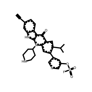 C#Cc1ccc2c(c1)[nH]c1c2c(=O)c2cc(C(C)C)c(-c3cncc(OS(=O)(=O)F)c3)cc2n1C1CCNCC1